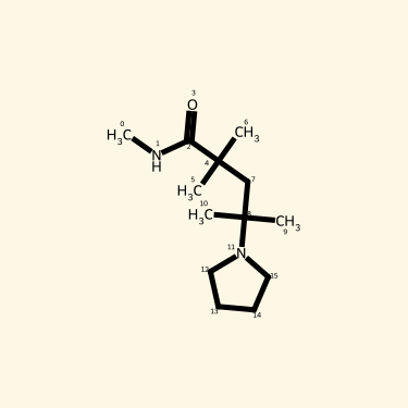 CNC(=O)C(C)(C)CC(C)(C)N1CCCC1